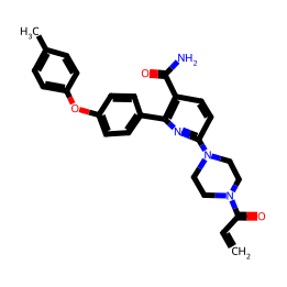 C=CC(=O)N1CCN(c2ccc(C(N)=O)c(-c3ccc(Oc4ccc(C)cc4)cc3)n2)CC1